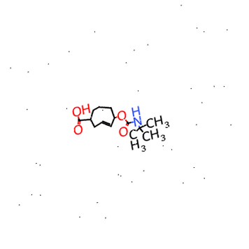 CC(C)(C)NC(=O)OC1/C=C/CC(C(=O)O)CCC1